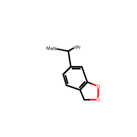 CCCC(NC)c1ccc2c(c1)OOC2